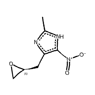 Cc1nc(C[C@H]2CO2)c([N+](=O)[O-])[nH]1